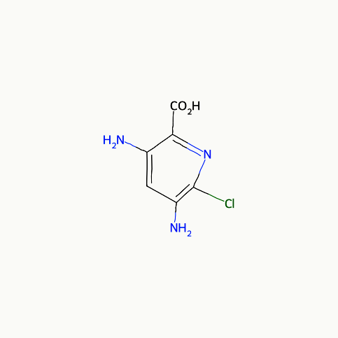 Nc1cc(N)c(C(=O)O)nc1Cl